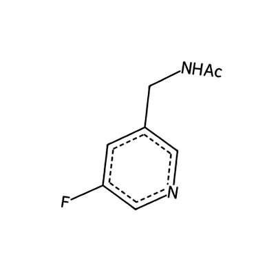 CC(=O)NCc1cncc(F)c1